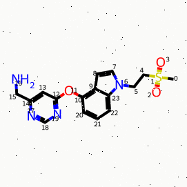 CS(=O)(=O)CCn1ccc2c(Oc3cc(CN)ncn3)cccc21